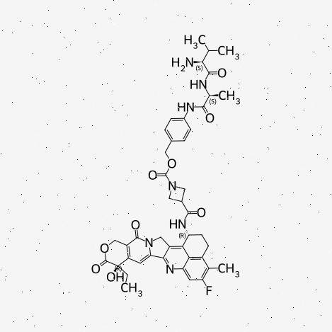 CC[C@]1(O)C(=O)OCc2c1cc1n(c2=O)Cc2c-1nc1cc(F)c(C)c3c1c2[C@H](NC(=O)C1CN(C(=O)OCc2ccc(NC(=O)[C@H](C)NC(=O)[C@@H](N)C(C)C)cc2)C1)CC3